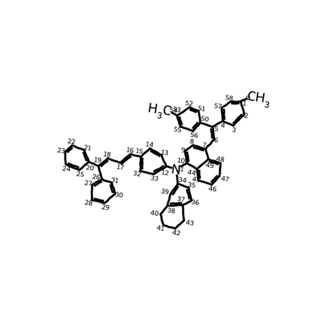 Cc1ccc(C(=Cc2ccc(N(c3ccc(/C=C/C=C(c4ccccc4)c4ccccc4)cc3)c3ccc4c(c3)CCCC4)c3ccccc23)c2ccc(C)cc2)cc1